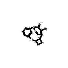 O=c1c(Br)c2cnn1-c1cccc(c1)OC1CCC21